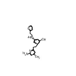 Cc1cc(N)nc(CCc2cc(C#N)cc(NCCc3ccccn3)c2)c1